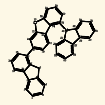 c1ccc2c(c1)Cc1c(-c3ccc4c(c3)oc3cccc(-n5c6ccccc6c6ccccc65)c34)cccc1-2